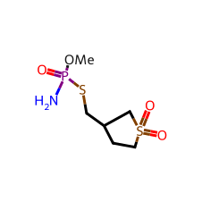 COP(N)(=O)SCC1CCS(=O)(=O)C1